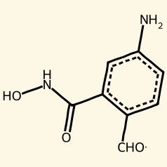 Nc1ccc([C]=O)c(C(=O)NO)c1